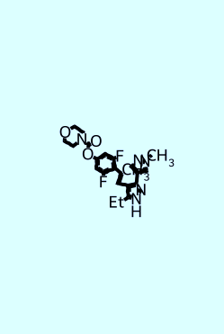 CCc1[nH]nc(-c2cnn(C)c2)c1/C=C(\C)c1c(F)cc(OC(=O)N2CCOCC2)cc1F